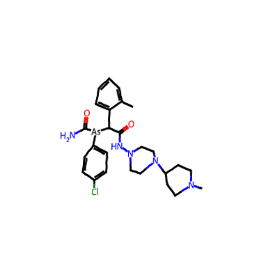 Cc1ccccc1C(C(=O)NN1CCN(C2CCN(C)CC2)CC1)[As](C(N)=O)c1ccc(Cl)cc1